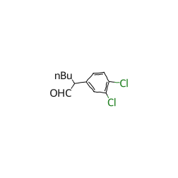 CCCCC(C=O)c1ccc(Cl)c(Cl)c1